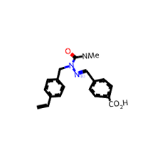 C=Cc1ccc(CN(/N=C/c2ccc(C(=O)O)cc2)C(=O)NC)cc1